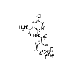 NC(=O)c1cc(Cl)cnc1NC(=O)c1cccc(C(F)(F)F)c1